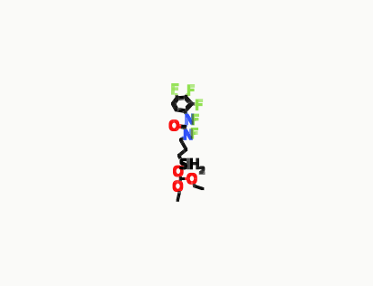 CCOC(OCC)O[SiH2]CCCN(F)C(=O)N(F)c1ccc(F)c(F)c1F